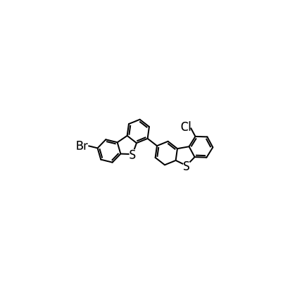 Clc1cccc2c1C1=CC(c3cccc4c3sc3ccc(Br)cc34)=CCC1S2